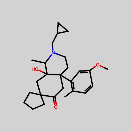 COc1ccc(C)c(C23CCN(CC4CC4)C(C)C2(O)CC2(CCCC2)C(=O)C3)c1